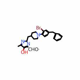 Cc1nc(CC2CCN(c3ccc(Cc4ccccc4)cc3Br)CC2)nc([C]=O)c1O